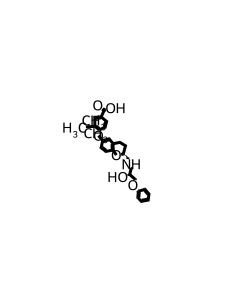 CC(C)(C)c1cc(C(=O)O)ccc1Oc1ccc2c(c1)CC[C@H](CNC[C@H](O)COc1ccccc1)O2